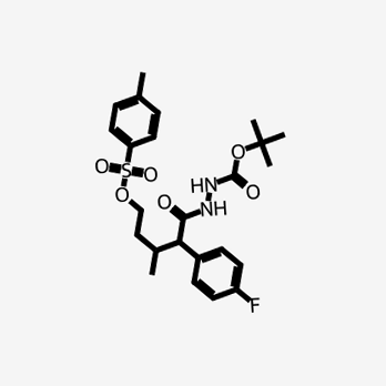 Cc1ccc(S(=O)(=O)OCCC(C)C(C(=O)NNC(=O)OC(C)(C)C)c2ccc(F)cc2)cc1